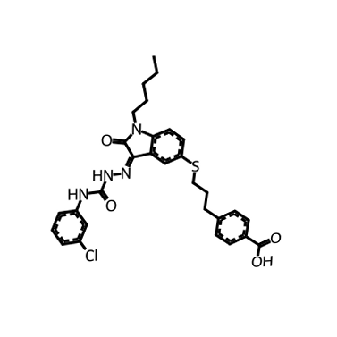 CCCCCN1C(=O)C(=NNC(=O)Nc2cccc(Cl)c2)c2cc(SCCCc3ccc(C(=O)O)cc3)ccc21